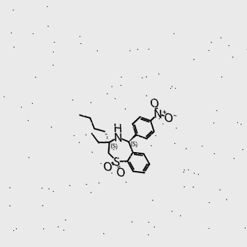 CCCC[C@@]1(CC)CS(=O)(=O)c2ccccc2[C@H](c2ccc([N+](=O)[O-])cc2)N1